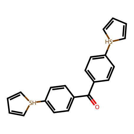 O=C(c1ccc([SH]2C=CC=C2)cc1)c1ccc([SH]2C=CC=C2)cc1